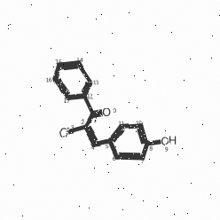 O=C(/C(Cl)=C\c1ccc(O)cc1)c1ccccc1